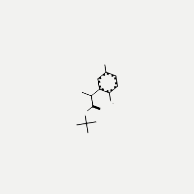 CC(C(=O)OC(C)(C)C)c1cc(F)ccc1O